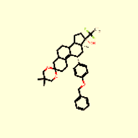 CC1(C)COC2(CCC3=C4C(CCC3C2)C2CC[C@@](O)(C(F)(F)C(F)(F)F)[C@@]2(C)C[C@@H]4c2ccc(OCc3ccccc3)cc2)OC1